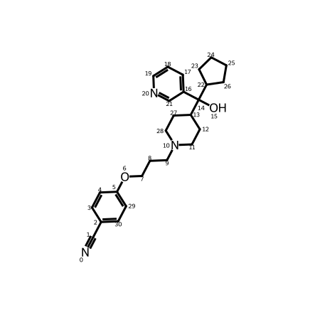 N#Cc1ccc(OCCCN2CCC(C(O)(c3cccnc3)C3CCCC3)CC2)cc1